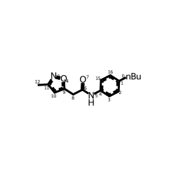 CCCCc1ccc(NC(=O)Cc2cc(C)no2)cc1